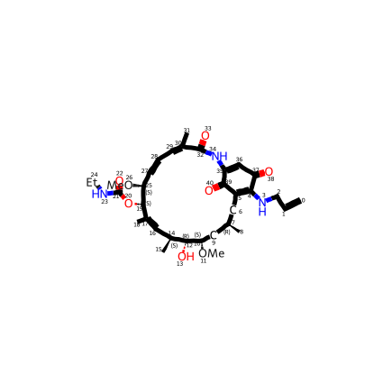 C=CCNC1=C2C[C@@H](C)C[C@H](OC)[C@H](O)[C@@H](C)C=C(C)[C@H](OC(=O)NCC)[C@@H](OC)C=CC=C(C)C(=O)NC(=CC1=O)C2=O